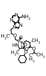 CC(C)OC(=O)[C@@H](C)CNP(=O)(CO[C@H](C)Cn1cnc2c(N)ncnc21)N[C@H](C)C(=O)OC1CCCCC1